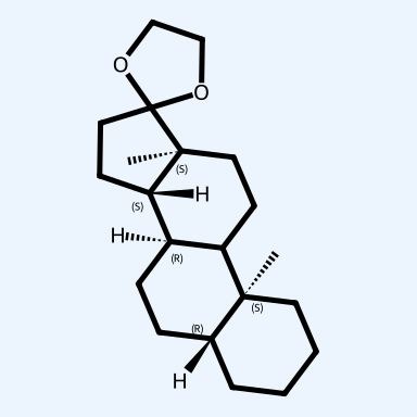 C[C@]12CCC3[C@@H](CC[C@H]4CCCC[C@]34C)[C@@H]1CCC21OCCO1